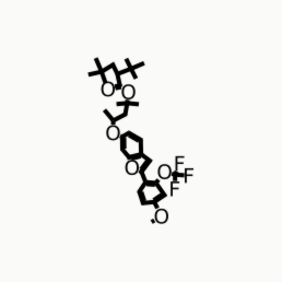 COc1ccc(-c2cc3ccc(OC(C)CC(C)(C)OC(=O)C(CC(C)(C)C)C(C)(C)C)cc3o2)c(OC(F)(F)F)c1